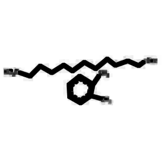 CCCCCCCCCCCCCCCCCCCCCC(=O)O.Cc1ccccc1C